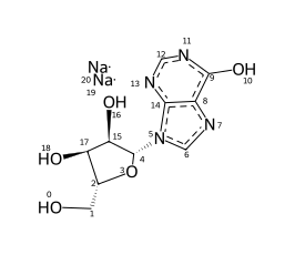 OC[C@H]1O[C@@H](n2cnc3c(O)ncnc32)[C@H](O)[C@@H]1O.[Na].[Na]